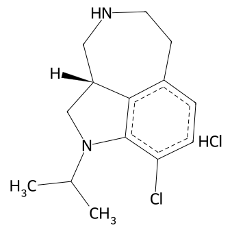 CC(C)N1C[C@@H]2CNCCc3ccc(Cl)c1c32.Cl